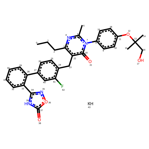 CCCc1nc(C)n(-c2ccc(OC(C)(C)CO)cc2)c(=O)c1Cc1ccc(-c2ccccc2-c2noc(=O)[nH]2)cc1F.[KH]